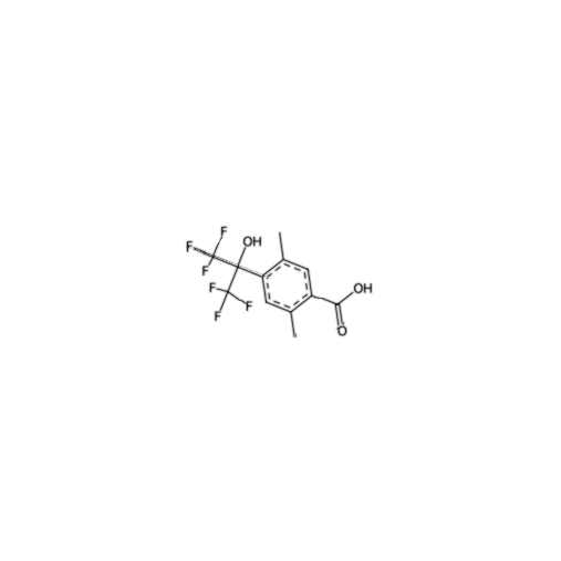 Cc1cc(C(O)(C(F)(F)F)C(F)(F)F)c(C)cc1C(=O)O